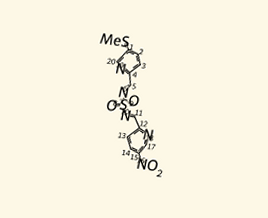 CSc1ccc(C=NS(=O)(=O)N=Cc2ccc([N+](=O)[O-])cn2)nc1